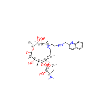 CC[C@H]1OC(=O)[C@H](C)[C@@H](O)[C@H](C)[C@@H](O[C@@H]2O[C@H](C)C[C@H](N(C)C)[C@H]2O)[C@](C)(O)C[C@@H](C)CN(CCCNCc2ccc3ccccc3n2)[C@H](C)[C@@H](O)[C@]1(C)O